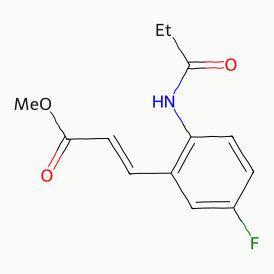 CCC(=O)Nc1ccc(F)cc1/C=C/C(=O)OC